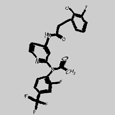 CC(=O)N(c1cc(NC(=O)Cc2cccc(F)c2Cl)ccn1)c1ccc(C(F)(F)F)cc1F